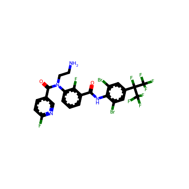 NCCN(C(=O)c1ccc(F)nc1)c1cccc(C(=O)Nc2c(Br)cc(C(F)(C(F)(F)F)C(F)(F)F)cc2Br)c1F